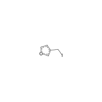 ICc1ccoc1